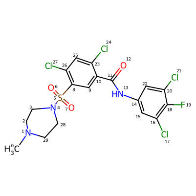 CN1CCN(S(=O)(=O)c2cc(C(=O)Nc3cc(Cl)c(F)c(Cl)c3)c(Cl)cc2Cl)CC1